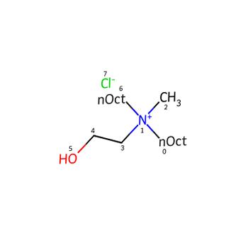 CCCCCCCC[N+](C)(CCO)CCCCCCCC.[Cl-]